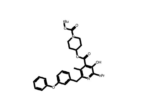 CCCc1nc(Cc2cccc(Oc3ccccc3)c2)c(C)c(C(=O)OC2CCN(C(=O)OC(C)(C)C)CC2)c1O